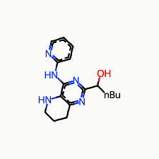 CCCCC(O)c1nc2c(c(Nc3ccccn3)n1)NCCC2